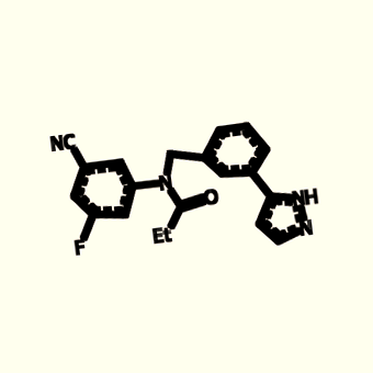 CCC(=O)N(Cc1cccc(-c2ccn[nH]2)c1)c1cc(F)cc(C#N)c1